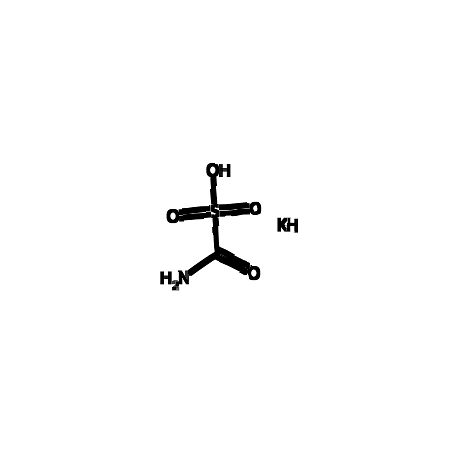 NC(=O)S(=O)(=O)O.[KH]